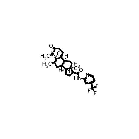 CC1=C2N(C)C(=O)CC[C@]2(C)[C@@H]2CC[C@]3(C)C(C(=O)Nc4cc(C(F)(F)F)ccn4)CC[C@H]3[C@@H]2C1